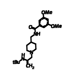 C=C(CN1CCC(CNC(=O)c2cc(OC)cc(OC)c2)CC1)NC(C)(C)C